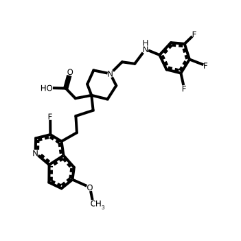 COc1ccc2ncc(F)c(CCCC3(CC(=O)O)CCN(CCNc4cc(F)c(F)c(F)c4)CC3)c2c1